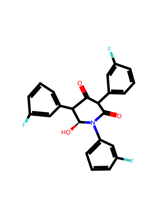 O=C1C(c2cccc(F)c2)C(=O)N(c2cccc(F)c2)[C@@H](O)C1c1cccc(F)c1